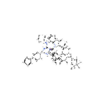 CC1(C)c2ccc(-c3cccc(-c4cccc(-n5c6ccccc6c6ccc7c8ccccc8n(-c8nc(-c9ccc(-c%10ccccc%10)cc9)nc(-c9cccc(-c%10ccccc%10)c9)n8)c7c65)c4)c3)cc2C(C)(C)C1(C)C